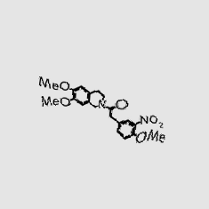 COc1cc2c(cc1OC)CN(C(=O)Cc1ccc(OC)c([N+](=O)[O-])c1)CC2